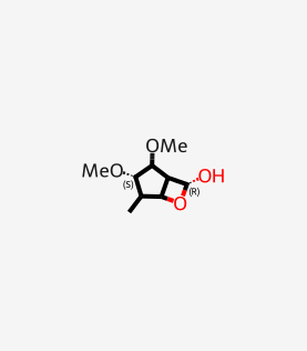 COC1C2C(O[C@H]2O)C(C)[C@@H]1OC